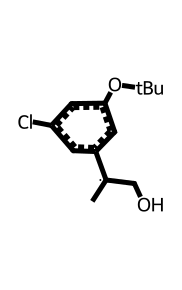 C[C](CO)c1cc(Cl)cc(OC(C)(C)C)c1